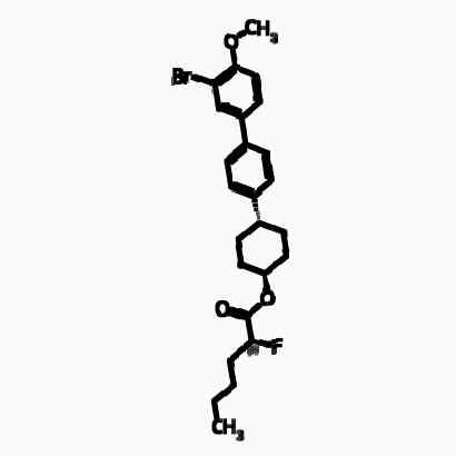 CCCC[C@H](F)C(=O)O[C@H]1CC[C@H](c2ccc(-c3ccc(OC)c(Br)c3)cc2)CC1